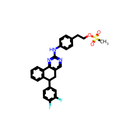 CS(=O)(=O)OCCc1ccc(Nc2ncc3c(n2)-c2ccccc2C(c2ccc(F)c(F)c2)C3)cc1